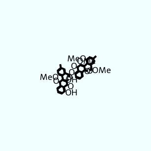 COC(=O)c1cc(C)cc(OC)c1C1=C(OC)C(=O)c2c(OC(=O)c3cc(C)cc(OC)c3C3=C(O)C(=O)c4c(O)cccc4C3=O)cccc2C1=O